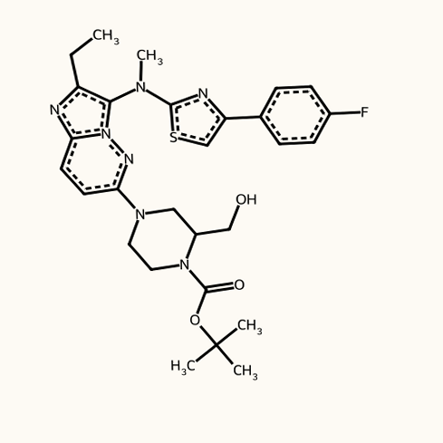 CCc1nc2ccc(N3CCN(C(=O)OC(C)(C)C)C(CO)C3)nn2c1N(C)c1nc(-c2ccc(F)cc2)cs1